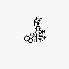 O=C(NC(Cc1cccc(OC(F)(F)C(F)F)c1)C(O)c1ccnc(F)c1)c1cccc2c1C=CCCC2